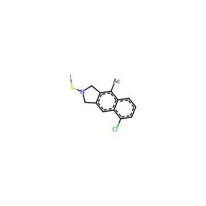 CC(=O)c1c2c(cc3c(Cl)cccc13)CN(SI)C2